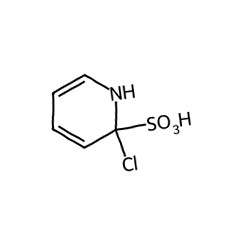 O=S(=O)(O)C1(Cl)C=CC=CN1